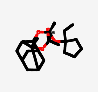 CCC1(O[C@H](C)OC2C3CC4CC(C3)C(C)(OC(C)=O)C2C4)CCCC1